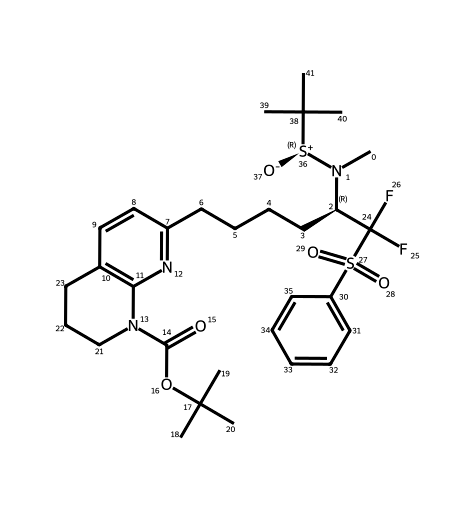 CN([C@H](CCCCc1ccc2c(n1)N(C(=O)OC(C)(C)C)CCC2)C(F)(F)S(=O)(=O)c1ccccc1)[S@@+]([O-])C(C)(C)C